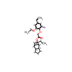 C=Cc1cc(I)c(OCC(=O)OC2(CC)CC3CC2C2CCCC32)c(OCC)c1